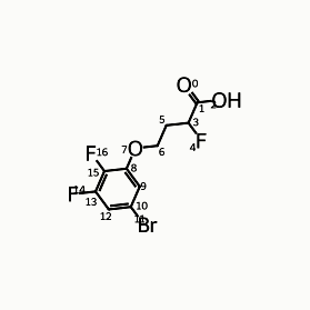 O=C(O)C(F)CCOc1cc(Br)cc(F)c1F